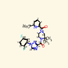 COc1cccc(C(=O)N2CCN(C(=O)c3ncn(-c4cc(F)ccc4F)n3)C(C)(C)C2)n1